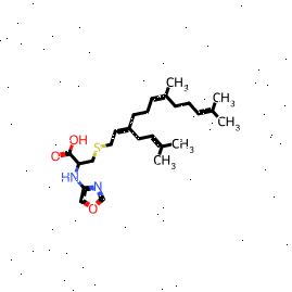 CC(C)=CCCC(C)=CCCC(=CCSCC(Nc1cocn1)C(=O)O)CC=C(C)C